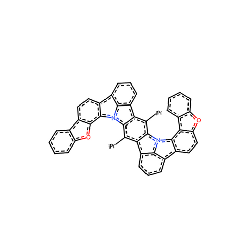 CC(C)c1c2c3cccc4c5ccc6oc7ccccc7c6c5n(c2c(C(C)C)c2c5cccc6c7ccc8c9ccccc9oc8c7n(c12)c65)c43